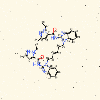 CCn1nc(C)cc1C(=O)Nc1nc2ccccc2n1CC/C=C/CCn1c(NC(=O)c2cc(C)nn2CC)nc2ccccc21